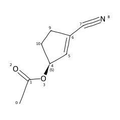 CC(=O)O[C@@H]1C=C(C#N)CC1